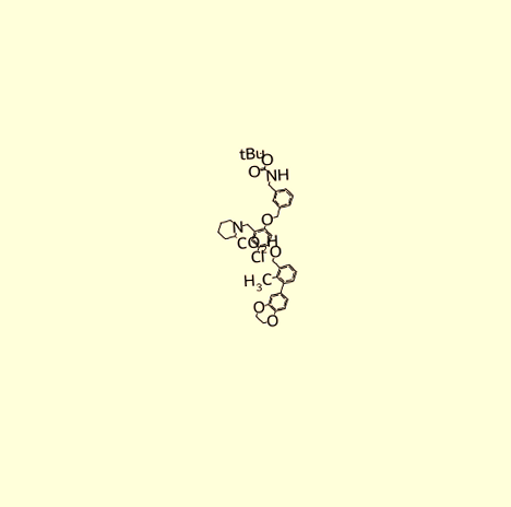 Cc1c(COc2cc(OCc3cccc(CNC(=O)OC(C)(C)C)c3)c(CN3CCCC[C@H]3C(=O)O)cc2Cl)cccc1-c1ccc2c(c1)OCCO2